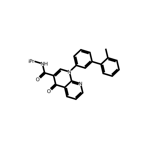 Cc1ccccc1-c1cccc(-n2cc(C(=O)NC(C)C)c(=O)c3cccnc32)c1